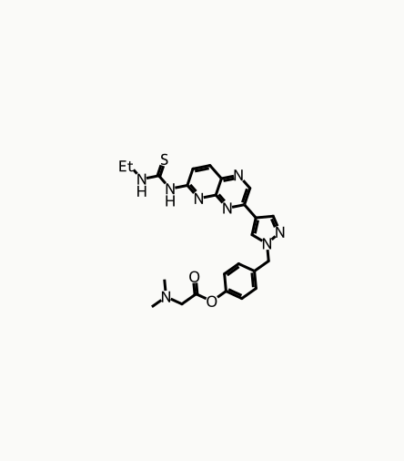 CCNC(=S)Nc1ccc2ncc(-c3cnn(Cc4ccc(OC(=O)CN(C)C)cc4)c3)nc2n1